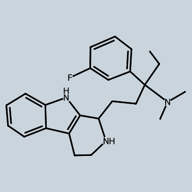 CCC(CCC1NCCc2c1[nH]c1ccccc21)(c1cccc(F)c1)N(C)C